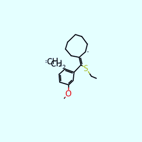 CCSC(=C1[CH]CCCCCC1)c1cccc(OC)c1.[CH2].[CH2]